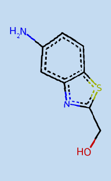 Nc1ccc2sc(CO)nc2c1